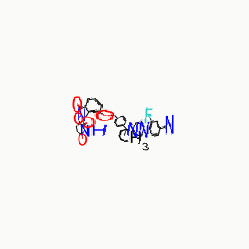 C[C@@H](c1ccc(COc2cccc3c2CN(OC2CCC(=O)NC2=O)C3=O)cc1)N1CCN(c2ccc(C#N)cc2F)CC1